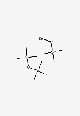 CCO[Si](C)(C)C.C[Si](C)(C)O[Si](C)(C)C